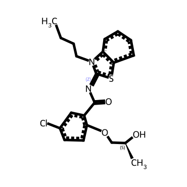 CCCCn1/c(=N/C(=O)c2cc(Cl)ccc2OC[C@H](C)O)sc2ccccc21